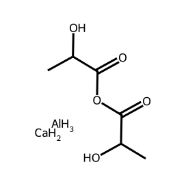 CC(O)C(=O)OC(=O)C(C)O.[AlH3].[CaH2]